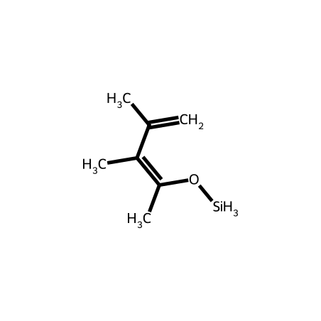 C=C(C)C(C)=C(C)O[SiH3]